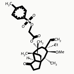 C=C[C@]1(CC)C[C@@H](OC(=O)COS(=O)(=O)c2ccc(C)cc2)[C@]2(C)[C@H](C)CC[C@]3(CCC(=O)[C@H]32)[C@@H](C)[C@@H]1OC